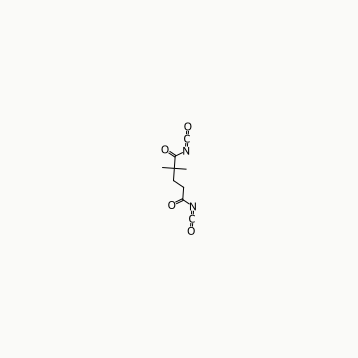 CC(C)(CCC(=O)N=C=O)C(=O)N=C=O